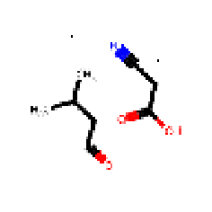 CC(C)CC=O.N#CCC(=O)O